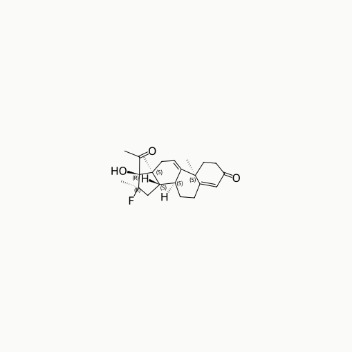 CC(=O)[C@]1(O)[C@@]2(C)CC=C3[C@@H](CCC4=CC(=O)CC[C@@]43C)[C@@H]2C[C@@]1(C)F